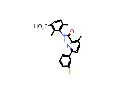 Cc1ccc(-c2cccc(F)c2)nc1C(=O)Nc1c(C)ccc(C(=O)O)c1C